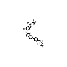 COc1cc(C(=O)NCC(F)(F)F)ccc1Nc1nc2ccc(-c3ccc(NC(=O)OC(C)(C)C)cc3)cn2n1